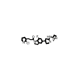 Cn1nccc1Nc1cc(-c2cc(F)c3c(c2)CCN3C(=O)CCc2cccnc2Cl)ccn1